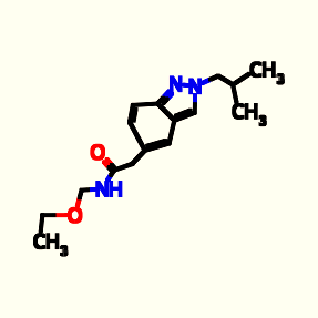 CCOCNC(=O)Cc1ccc2nn(CC(C)C)cc2c1